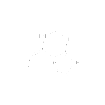 C/C=C1/NC=Nc2[nH]ccc21